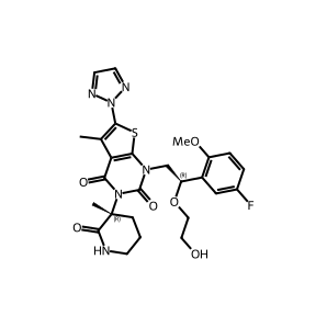 COc1ccc(F)cc1[C@H](Cn1c(=O)n([C@]2(C)CCCNC2=O)c(=O)c2c(C)c(-n3nccn3)sc21)OCCO